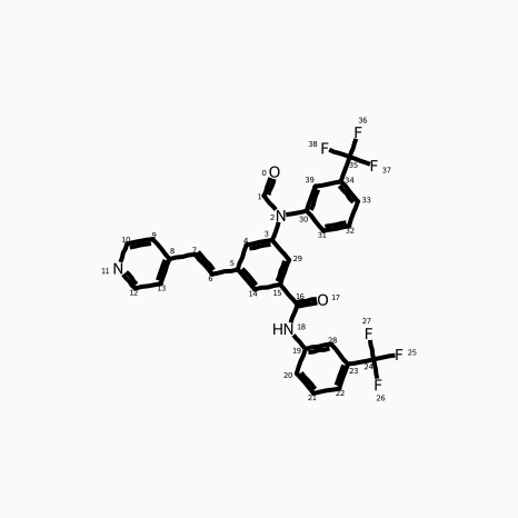 O=CN(c1cc(C=Cc2ccncc2)cc(C(=O)Nc2cccc(C(F)(F)F)c2)c1)c1cccc(C(F)(F)F)c1